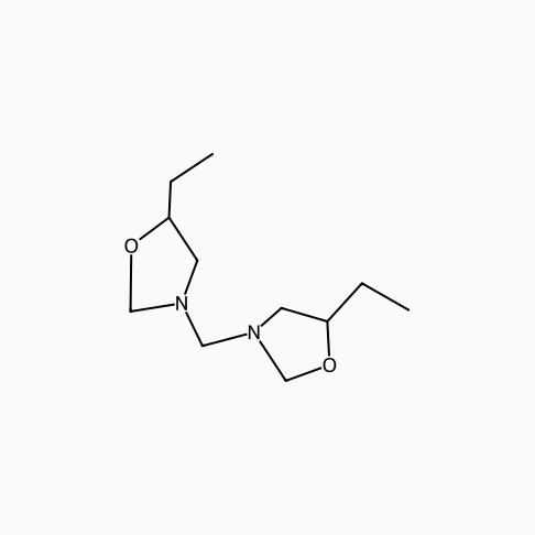 CCC1CN(CN2COC(CC)C2)CO1